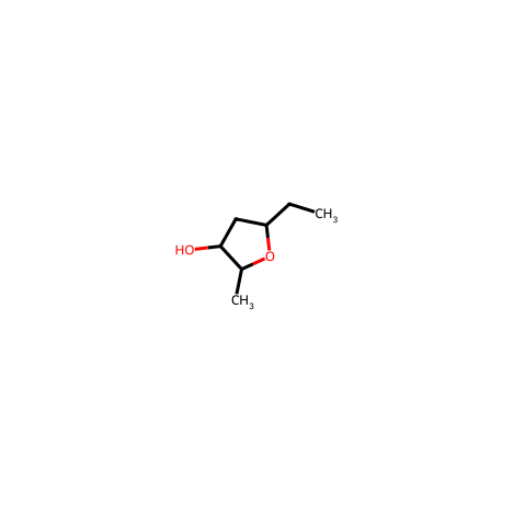 CCC1CC(O)C(C)O1